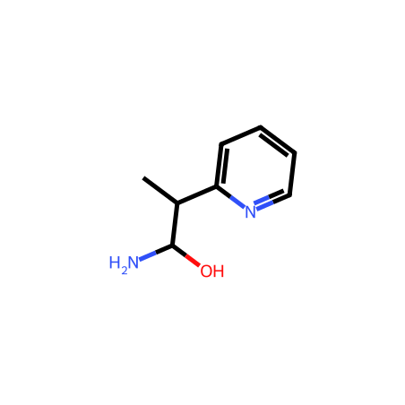 CC(c1ccccn1)C(N)O